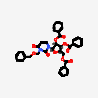 O=C(OC[C@H]1O[C@H](n2ccc(=O)n(COCc3ccccc3)c2=O)[C@@H](OC(=O)c2ccccc2)[C@@H]1OC(=O)c1ccccc1)c1ccccc1